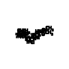 CC(C)OC(=O)Nc1cnc2nc(-c3cc(NC(=O)N(C)c4nccn4C)ccc3Cl)cn2c1